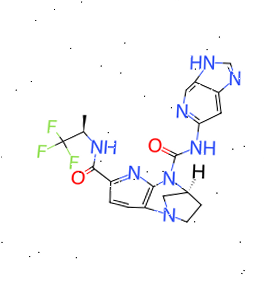 C[C@@H](NC(=O)c1ccc2c(n1)N(C(=O)Nc1cc3nc[nH]c3cn1)[C@H]1CCN2C1)C(F)(F)F